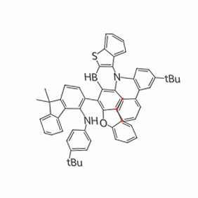 CC(C)(C)c1ccc(Nc2c(-c3c4c(cc5c3oc3ccccc35)N(c3ccc(C(C)(C)C)cc3-c3ccccc3)c3c(sc5ccccc35)B4)ccc3c2-c2ccccc2C3(C)C)cc1